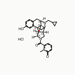 Cl.Cn1c(C(=O)N2C[C@H]3C[C@@]45CC[C@@H]2[C@@H]3[C@@]42CCN(CC3CC3)[C@@H]5Cc3ccc(O)cc32)cccc1=O